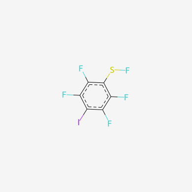 FSc1c(F)c(F)c(I)c(F)c1F